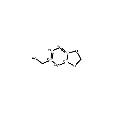 CC(=O)C[13C]1=[13CH][13CH]=[13C]2OCO[13CH]2[13CH2]1